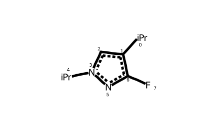 CC(C)c1cn(C(C)C)nc1F